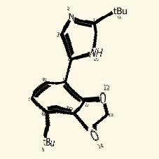 CC(C)(C)c1ncc(-c2ccc(C(C)(C)C)c3c2OCO3)[nH]1